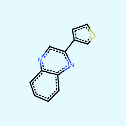 [c]1nc2ccccc2nc1-c1ccsc1